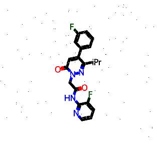 CC(C)c1nn(CC(=O)Nc2ncccc2F)c(=O)cc1-c1cccc(F)c1